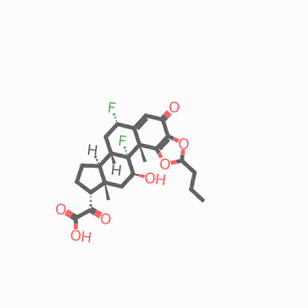 CCCC1OC2=C(O1)[C@@]1(C)C(=CC2=O)[C@@H](F)C[C@H]2[C@@H]3CC[C@@H](C(=O)C(=O)O)[C@@]3(C)C[C@H](O)[C@@]21F